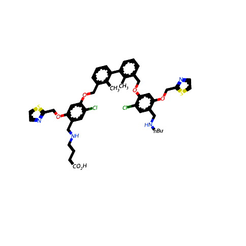 CCCCNCc1cc(Cl)c(OCc2cccc(-c3cccc(COc4cc(OCc5nccs5)c(CNCCCC(=O)O)cc4Cl)c3C)c2C)cc1OCc1nccs1